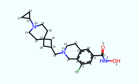 O=C(NO)c1cc(F)c2c(c1)CCN(CC1CC3(CCN(C4CC4)CC3)C1)C2